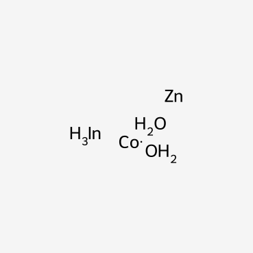 O.O.[Co].[InH3].[Zn]